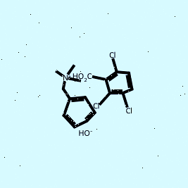 C[N+](C)(C)Cc1ccccc1.O=C(O)c1c(Cl)ccc(Cl)c1Cl.[OH-]